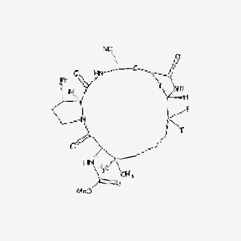 COC(=O)N[C@@H]1C(=O)N2CC[C@H](C(C)C)[C@H]2C(=O)N[C@H](C#N)CC2C[C@H](NC2=O)C(F)(F)CCCC1(C)C